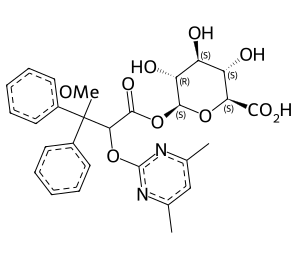 COC(c1ccccc1)(c1ccccc1)C(Oc1nc(C)cc(C)n1)C(=O)O[C@@H]1O[C@H](C(=O)O)[C@@H](O)[C@H](O)[C@H]1O